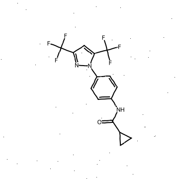 O=C(Nc1ccc(-n2nc(C(F)(F)F)cc2C(F)(F)F)cc1)C1CC1